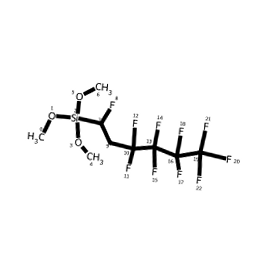 CO[Si](OC)(OC)C(F)CC(F)(F)C(F)(F)C(F)(F)C(F)(F)F